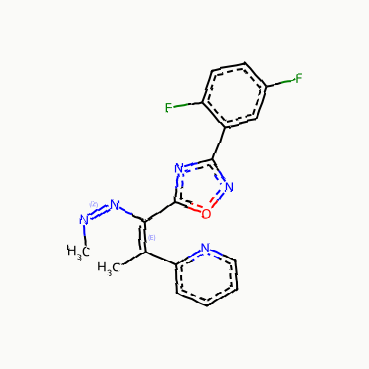 C/N=N\C(=C(/C)c1ccccn1)c1nc(-c2cc(F)ccc2F)no1